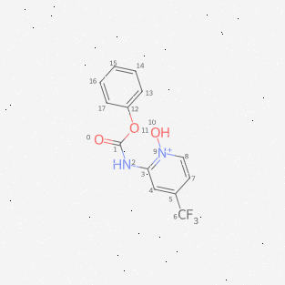 O=C(Nc1cc(C(F)(F)F)cc[n+]1O)Oc1ccccc1